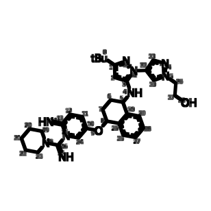 CC(C)(C)c1cc(NC2CCC(Oc3ccc(=N)n(C(=N)N4CCCCC4)c3)c3ccccc32)n(-c2cnn(CCO)c2)n1